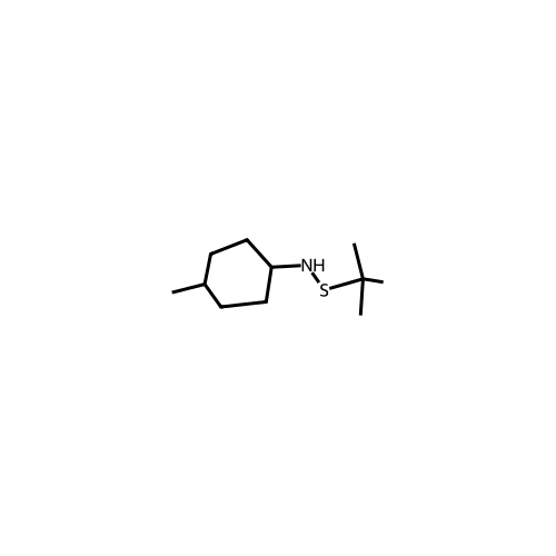 CC1CCC(NSC(C)(C)C)CC1